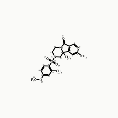 Cc1cc2c(cn1)C(=O)N1CCN(S(=O)(=O)c3ccc(OC(F)(F)F)cc3C)CC21C